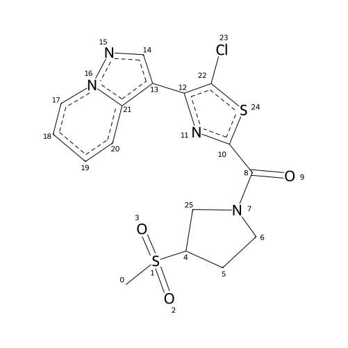 CS(=O)(=O)C1CCN(C(=O)c2nc(-c3cnn4ccccc34)c(Cl)s2)C1